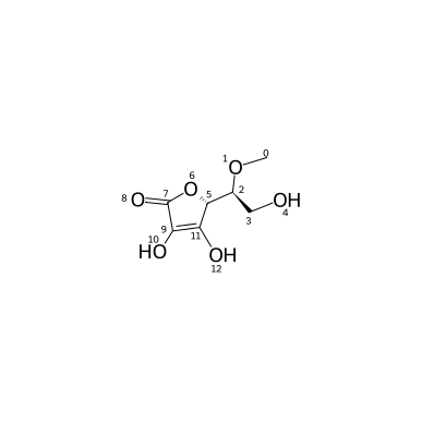 CO[C@@H](CO)[C@H]1OC(=O)C(O)=C1O